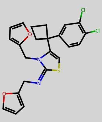 Clc1ccc(C2(c3csc(=NCc4ccco4)n3Cc3ccco3)CCC2)cc1Cl